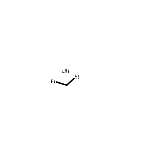 CCCCC.[LiH]